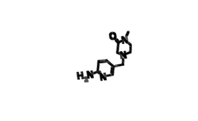 CN1CCN(Cc2ccc(N)nc2)CC1=O